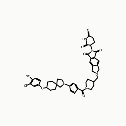 N#Cc1ccc(OC2CCC3(CC2)CCN(c2ccc(C(=O)N4CCC(CN5Cc6cc7c(cc6C5)C(=O)N(C5CCC(=O)NC5=O)C7=O)CC4)cc2)C3)cc1Cl